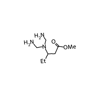 CCC(CC(=O)OC)N(CN)CN